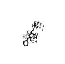 C[C@]1(O)[C@@H](CCO[PH](C)(C)C)C(=O)N[C@]1(CO)[C@H](O)[C@@H]1C=CCCC1